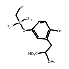 CC(=O)OC(Cc1cc(O[Si](C)(C)CC(C)C)ccc1O)C(=O)O